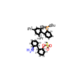 CC(C)c1cc(C(C)C)c(-c2ccccc2P(C(C)(C)C)C(C)(C)C)c(C(C)C)c1.CS(=O)(=O)Oc1ccccc1-c1ccccc1N